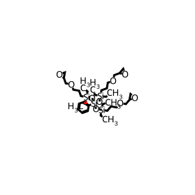 CC[Si](CC)(CCCOCC1CO1)O[Si](O[Si](CC)(CC)CCCOCC1CO1)(O[Si](CC)(CC)CCCOCC1CO1)c1ccccc1